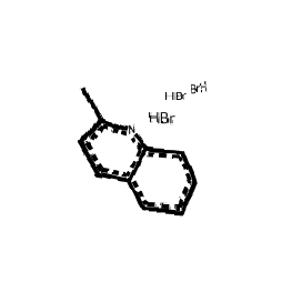 Br.Br.Br.Cc1ccc2ccccc2n1